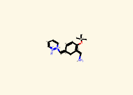 C[Si](C)(C)OC1=C(CN)CC(=CN2C=CC=CN2)C=C1